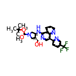 CC(C)(C)OC(=O)N1C[C@@H](CO)[C@H](Nc2ncc(-c3ccc(C(F)(F)F)cn3)c3ncccc23)C1